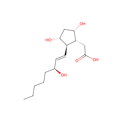 CCCCC[C@H](O)/C=C/[C@@H]1[C@@H](CC(=O)O)[C@@H](O)C[C@H]1O